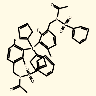 CC(=O)N(Cc1ccc(F)[c]([Ti]([C]2=CC=CC2)([C]2=CC=CC2)[c]2c(F)ccc(CN(C(C)=O)S(=O)(=O)c3ccccc3)c2F)c1F)S(=O)(=O)c1ccccc1